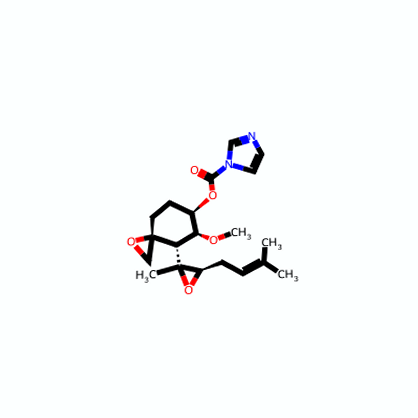 CO[C@H]1[C@H](C2(C)O[C@@H]2CC=C(C)C)[C@]2(CC[C@H]1OC(=O)n1ccnc1)CO2